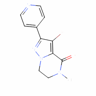 CN1CCn2nc(-c3ccncc3)c(Br)c2C1=O